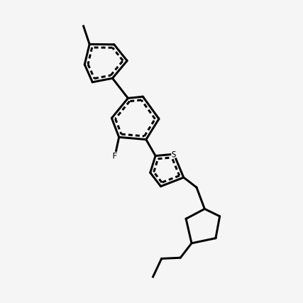 CCCC1CCC(Cc2ccc(-c3ccc(-c4ccc(C)cc4)cc3F)s2)C1